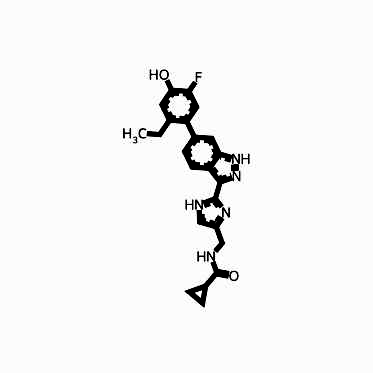 CCc1cc(O)c(F)cc1-c1ccc2c(-c3nc(CNC(=O)C4CC4)c[nH]3)n[nH]c2c1